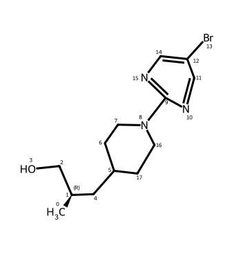 C[C@@H](CO)CC1CCN(c2ncc(Br)cn2)CC1